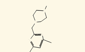 Cc1cc(C)nc(CN2CCN(I)CC2)n1